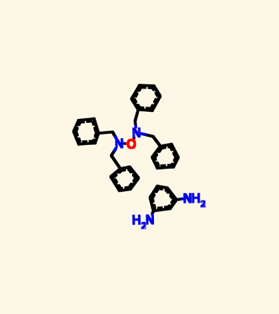 Nc1cccc(N)c1.c1ccc(CN(Cc2ccccc2)ON(Cc2ccccc2)Cc2ccccc2)cc1